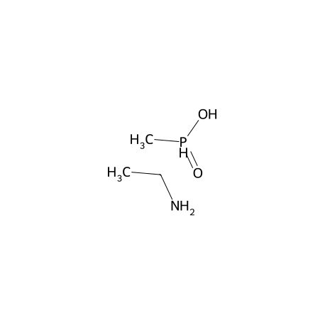 CCN.C[PH](=O)O